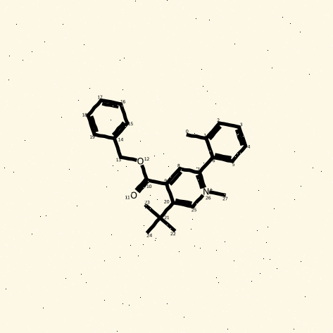 Cc1ccccc1-c1cc(C(=O)OCc2ccccc2)c(C(C)(C)C)c[n+]1C